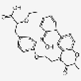 CCOC(Cc1ccc(OCCN2C(=O)C(C)Oc3ccc(C4C=CC=CC4=NO)cc32)cc1)C(=O)O